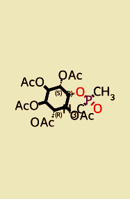 CC(=O)OC1C(OC(C)=O)[C@H](OC(C)=O)[C@H](OP(C)(C)=O)C(OC(C)=O)[C@@H]1OC(C)=O